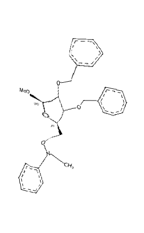 CO[C@@H]1O[C@H](CON(C)c2ccccc2)C(OCc2ccccc2)C1OCc1ccccc1